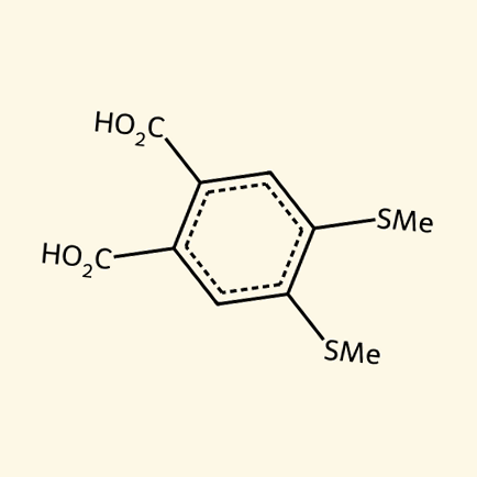 CSc1cc(C(=O)O)c(C(=O)O)cc1SC